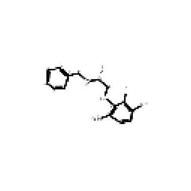 C[C@H](COc1c([N+](=O)[O-])ccc(F)c1F)OCc1ccccc1